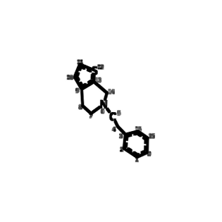 c1ccc(CCN2CCc3ccsc3C2)cc1